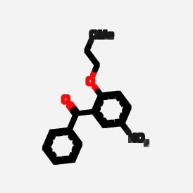 COCCOc1ccc([N+](=O)[O-])cc1C(=O)c1ccccc1